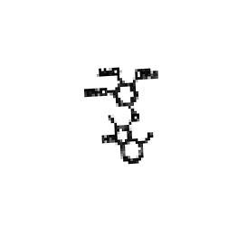 COc1cc(Oc2c(C)[nH]c3cccc(F)c23)cc(OC)c1OC